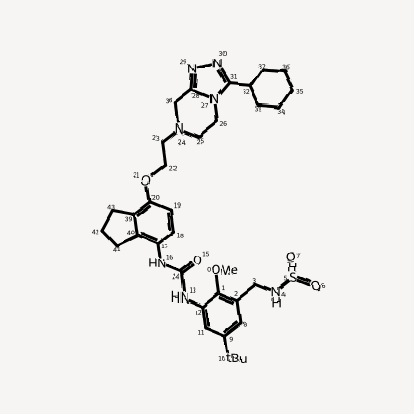 COc1c(CN[SH](=O)=O)cc(C(C)(C)C)cc1NC(=O)Nc1ccc(OCCN2CCn3c(nnc3C3CCCCC3)C2)c2c1CCC2